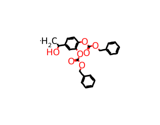 [CH2]C(O)c1ccc(OC(=O)OCc2ccccc2)c(OC(=O)OCc2ccccc2)c1